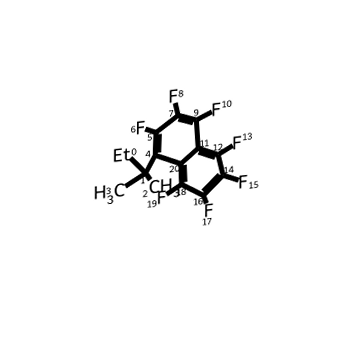 CCC(C)(C)c1c(F)c(F)c(F)c2c(F)c(F)c(F)c(F)c12